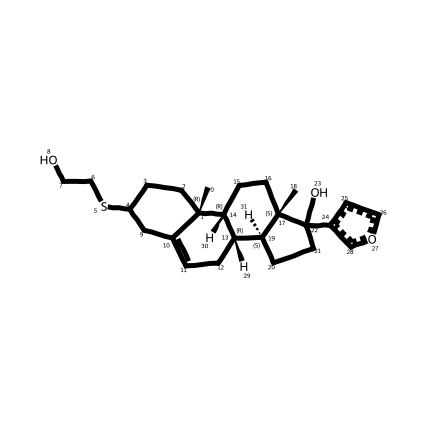 C[C@]12CCC(SCCO)CC1=CC[C@@H]1[C@H]2CC[C@@]2(C)[C@H]1CCC2(O)c1ccoc1